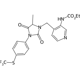 CCOC(=O)Nc1cnccc1CN1C(=O)N(c2ccc(SC(F)(F)F)cc2)C(=O)C1C